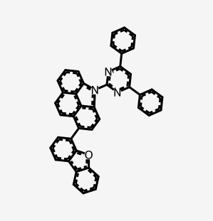 c1ccc(-c2cc(-c3ccccc3)nc(-n3c4cccc5ccc6c(-c7cccc8c7oc7ccccc78)ccc3c6c54)n2)cc1